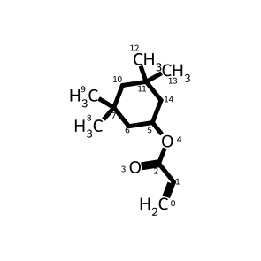 C=CC(=O)OC1CC(C)(C)CC(C)(C)C1